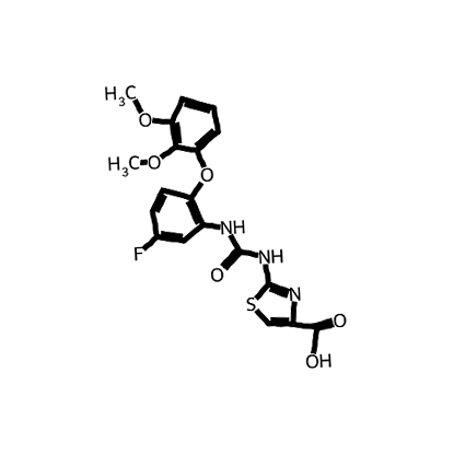 COc1cccc(Oc2ccc(F)cc2NC(=O)Nc2nc(C(=O)O)cs2)c1OC